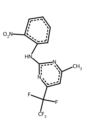 Cc1cc(C(F)(F)C(F)(F)F)nc(Nc2ccccc2[N+](=O)[O-])n1